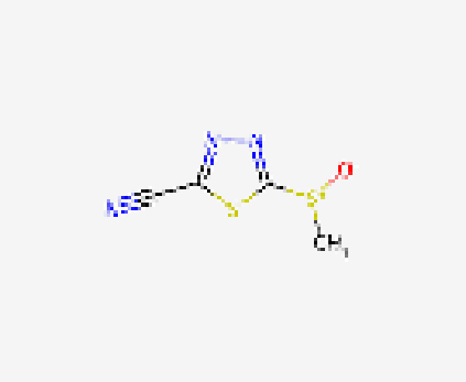 C[S+]([O-])c1nnc(C#N)s1